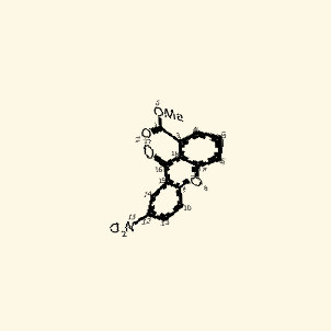 COC(=O)c1cccc2oc3ccc([N+](=O)[O-])cc3c(=O)c12